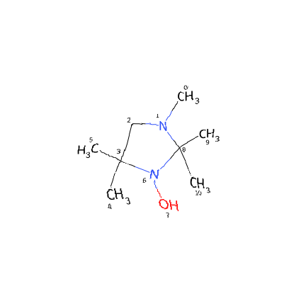 CN1CC(C)(C)N(O)C1(C)C